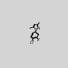 Cc1cc(C)n(-c2ccc(Cl)c(F)c2)n1